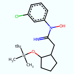 CC(C)(C)[Si](C)(C)OC1CCCC1CC(=N)N(O)c1cccc(Cl)c1